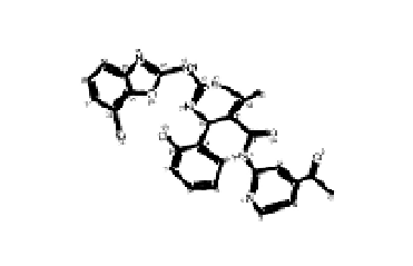 CC(=O)c1ccnc(NC(=O)C2=C(C)NC(Nc3nc4cccc(Cl)c4o3)=NC2c2ccccc2Cl)c1